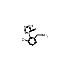 NCc1cccc(Cl)c1-n1nn[nH]c1=O